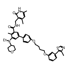 CCN(c1cc(-c2ccc(OCCCCOc3cccc(-c4scnc4C)c3)cc2)cc(C(=O)NCc2c(C)cc(C)[nH]c2=O)c1C)C1CCOCC1